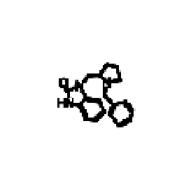 O=c1[nH]c2ccccc2n1CC1CCCN1Cc1ccccc1